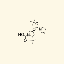 CC(C)(C)C1CC=CN1C(=O)O.CC(C)(C)OC(=O)N1C=CCC1